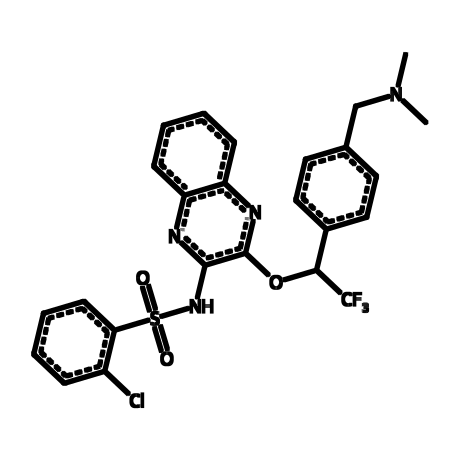 CN(C)Cc1ccc(C(Oc2nc3ccccc3nc2NS(=O)(=O)c2ccccc2Cl)C(F)(F)F)cc1